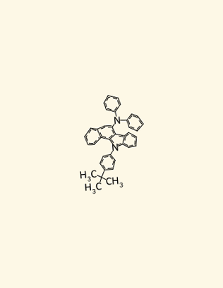 CC(C)(C)c1ccc(-n2c3ccccc3c3c(N(c4ccccc4)c4ccccc4)cc4ccccc4c32)cc1